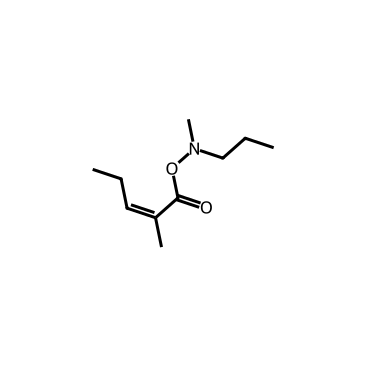 CCC=C(C)C(=O)ON(C)CCC